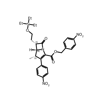 CC[Si](CC)(CC)OCC[C@@H]1C(=O)N2C(C(=O)OCc3ccc([N+](=O)[O-])cc3)=C(c3ccc([N+](=O)[O-])cc3)[C@H](C)[C@H]12